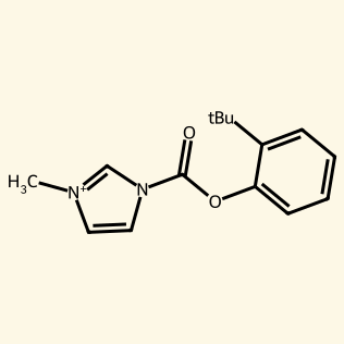 C[n+]1ccn(C(=O)Oc2ccccc2C(C)(C)C)c1